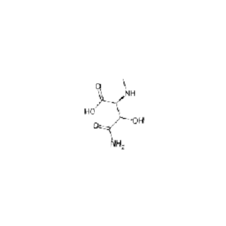 CN[C@H](C(=O)O)C(O)C(N)=O